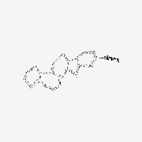 CCCCCc1ccc2c(c1)oc1c2ccc2c3ccccc3ccc21